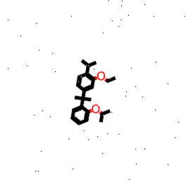 CCOc1cc(C(C)(C)c2ccccc2OC(C)C)ccc1C(C)C